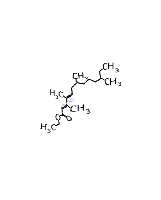 CCOC(=O)/C=C(C)/C(C)=C/CC(C)CCCC(C)CC